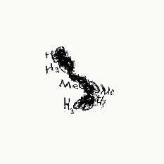 COc1cc(-c2cn(C)c(=O)c(C)c2C)cc(OC)c1CN1CCC(N2CCN(Cc3cccc4c3n(C)c(=O)n4C3CCC(=O)NC3=O)CC2)CC1